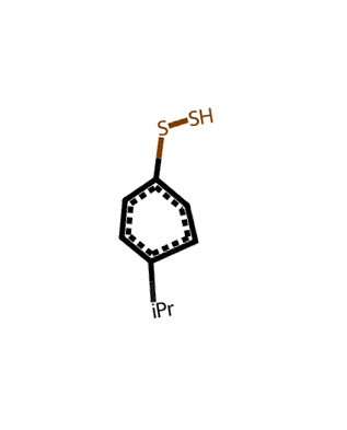 CC(C)c1ccc(SS)cc1